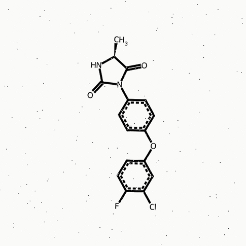 C[C@@H]1NC(=O)N(c2ccc(Oc3ccc(F)c(Cl)c3)cc2)C1=O